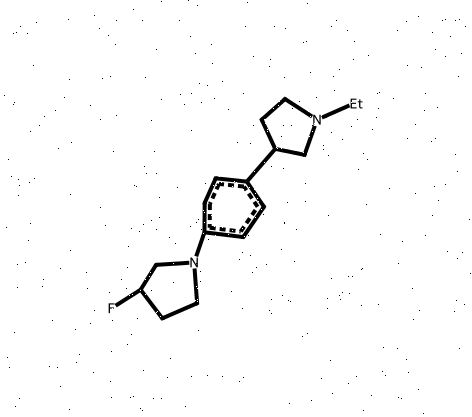 CCN1CCC(c2ccc(N3CCC(F)C3)cc2)C1